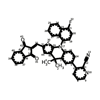 CC1(C)c2cc(-c3cccnc3C#N)ccc2N(c2ccc(F)c3ccccc23)c2sc(C=C3C(=O)c4ccccc4C3=O)cc21